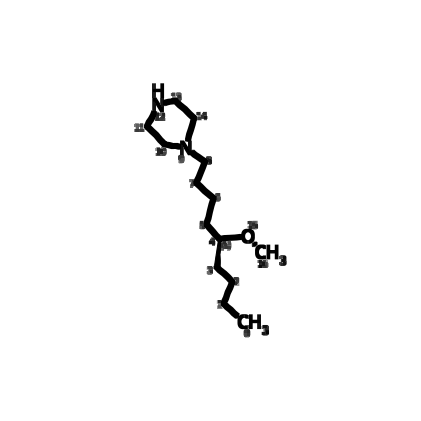 CCCC[C@@H](CCCCN1CCNCC1)OC